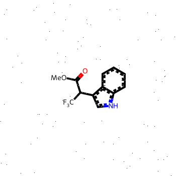 COC(=O)C(c1c[nH]c2ccccc12)C(F)(F)F